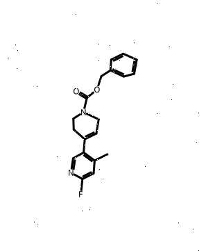 Cc1cc(F)ncc1C1=CCN(C(=O)OCc2ccccc2)CC1